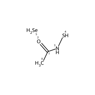 CC(=O)NS.[SeH2]